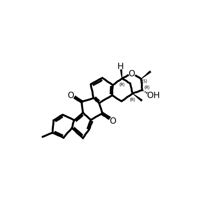 Cc1ccc2c3c(ccc2c1)C(=O)c1c(ccc2c1C[C@]1(C)C[C@H]2O[C@@H](C)[C@@H]1O)C3=O